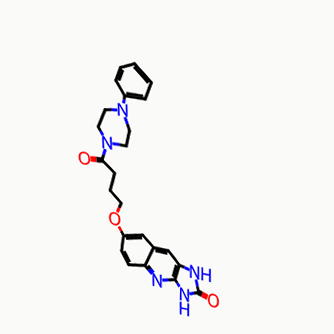 O=C(CCCOc1ccc2nc3[nH]c(=O)[nH]c3cc2c1)N1CCN(c2ccccc2)CC1